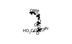 COC(C)(C)CCOC(C)(C)CCOC(C)(C)C(=O)OCC(C)(COC(C)C)C(=O)OCC(=O)O